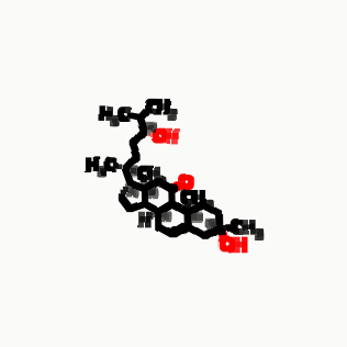 CC(C)[C@H](O)CC[C@@H](C)[C@H]1CCC2[C@@H]3CC=C4C[C@@](C)(O)CC[C@]4(C)C3C(=O)C[C@@]21C